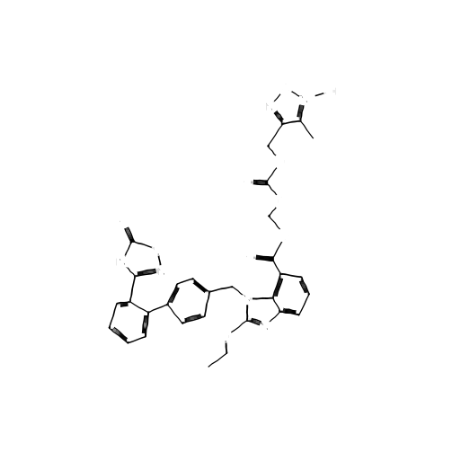 CCOc1nc2cccc(C(=O)OCOC(=O)OCc3no[n+](O)c3C)c2n1Cc1ccc(-c2ccccc2-c2noc(=O)[nH]2)cc1